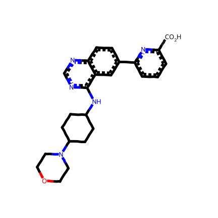 O=C(O)c1cccc(-c2ccc3ncnc(NC4CCC(N5CCOCC5)CC4)c3c2)n1